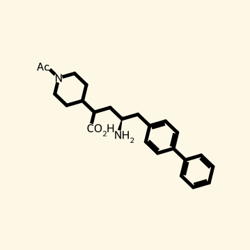 CC(=O)N1CCC(C(C[C@H](N)Cc2ccc(-c3ccccc3)cc2)C(=O)O)CC1